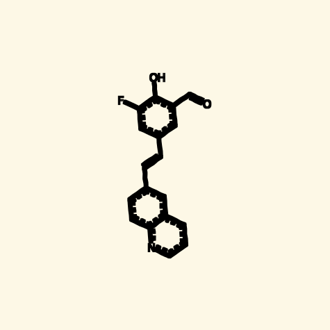 O=Cc1cc(C=Cc2ccc3ncccc3c2)cc(F)c1O